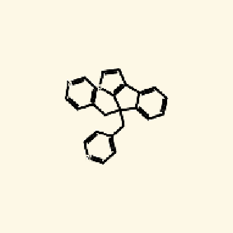 c1ccc2c(c1)-c1ccsc1C2(Cc1ccncc1)Cc1ccncc1